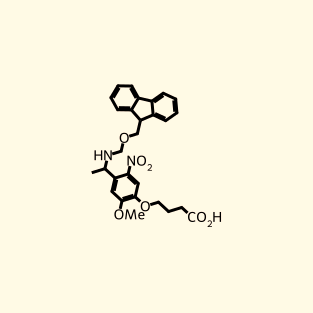 COc1cc(C(C)NCOCC2c3ccccc3-c3ccccc32)c([N+](=O)[O-])cc1OCCCC(=O)O